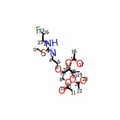 CS/C(=N\CCO[C@H](COC(C)=O)[C@@H](OC(C)=O)[C@@H](C)OC(C)=O)NCCF